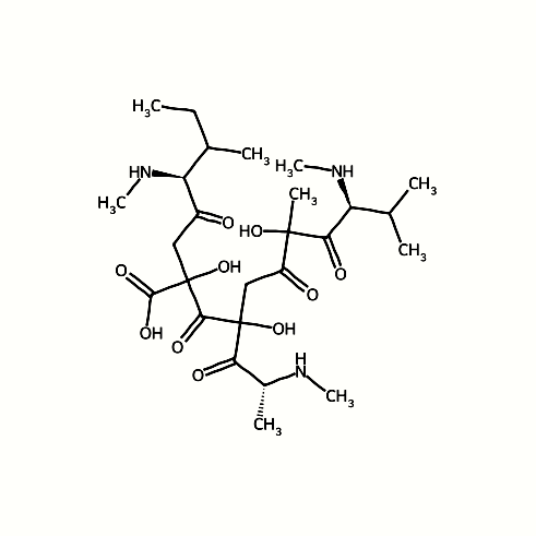 CCC(C)[C@H](NC)C(=O)CC(O)(C(=O)O)C(=O)C(O)(CC(=O)C(C)(O)C(=O)[C@@H](NC)C(C)C)C(=O)[C@@H](C)NC